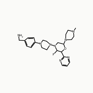 CN1CCN(C2CN(N3CCN(c4ccc(CN)cc4)CC3)C(F)C(c3ncccn3)O2)CC1